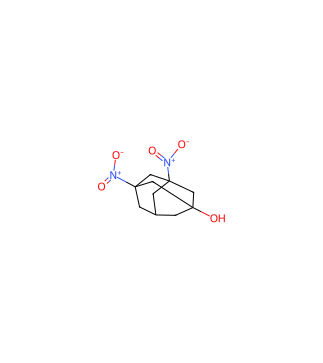 O=[N+]([O-])C12CC3CC(O)(C1)CC([N+](=O)[O-])(C3)C2